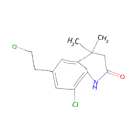 CC1(C)CC(=O)Nc2c(Cl)cc(CCCl)cc21